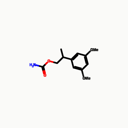 COc1cc(OC)cc(C(C)COC(N)=O)c1